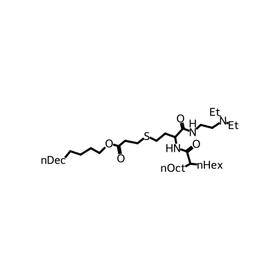 CCCCCCCCCCCCCCOC(=O)CCSCCC(NC(=O)C(CCCCCC)CCCCCCCC)C(=O)NCCN(CC)CC